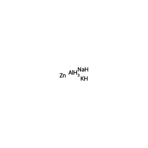 [AlH3].[KH].[NaH].[Zn]